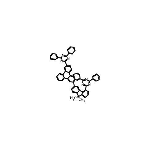 CC1(C)c2ccc(-c3ccc4c5ccc(-c6nc(-c7ccccc7)nc(-c7ccccc7)n6)cc5c5ccccc5c4c3)cc2-c2c(-c3nc(-c4ccccc4)nc(-c4ccccc4)n3)cccc21